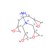 NC(CC1CO1)(CC1CO1)N(CC1CO1)CC1CO1